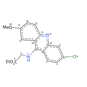 CCOC(=O)CNc1c2ccc(Cl)cc2nc2ccc(OC)cc12